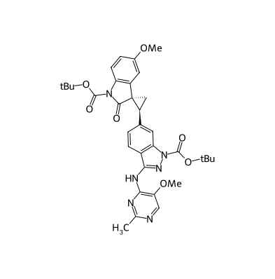 COc1ccc2c(c1)[C@]1(C[C@H]1c1ccc3c(Nc4nc(C)ncc4OC)nn(C(=O)OC(C)(C)C)c3c1)C(=O)N2C(=O)OC(C)(C)C